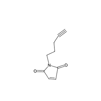 C#CCCCN1C(=O)C=CC1=O